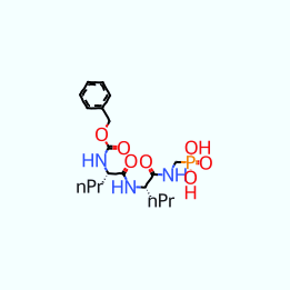 CCC[C@H](NC(=O)OCc1ccccc1)C(=O)N[C@@H](CCC)C(=O)NCP(=O)(O)O